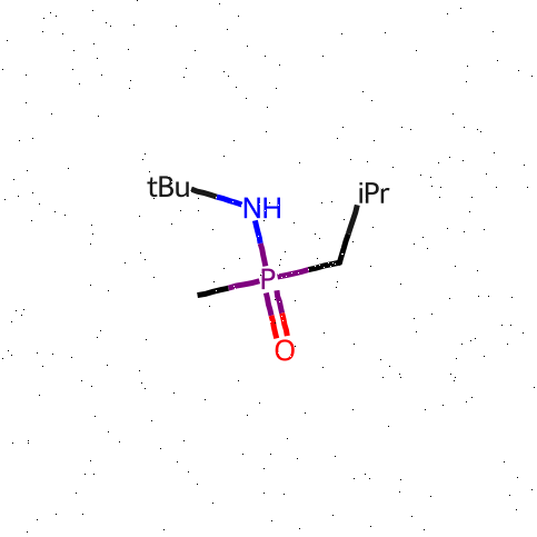 CC(C)CP(C)(=O)NC(C)(C)C